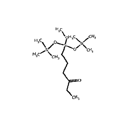 CCC(=O)CCC[Si](OC)(O[Si](C)(C)C)O[Si](C)(C)C